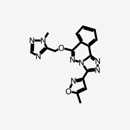 Cc1cc(-c2nnc3c4ccccc4c(OCc4ncnn4C)nn23)no1